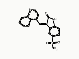 NS(=O)(=O)c1ccc2c(c1)C(=Cc1ccnc3ccccc13)C(=O)N2